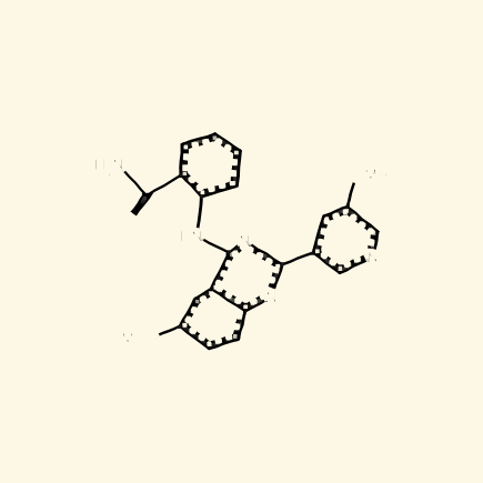 COc1cncc(-c2nc(Nc3ccccc3C(N)=O)c3cc(OC)ccc3n2)c1